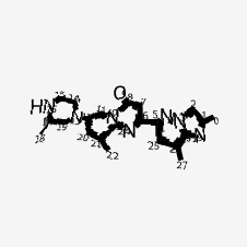 Cc1cn2nc(-c3cc(=O)n4cc(N5CCN[C@H](C)C5)cc(C)c4n3)cc(C)c2n1